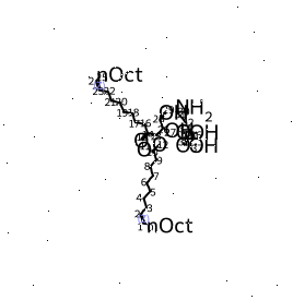 CCCCCCCC/C=C\CCCCCCCC(=O)OC(C(=O)CCCCCCC/C=C\CCCCCCCC)C(O)CO.NCCOP(=O)(O)O